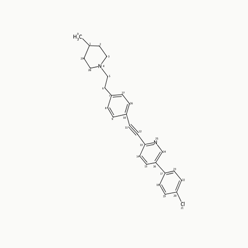 CC1CCN(CCc2ccc(C#Cc3ccc(-c4ccc(Cl)cc4)cn3)cc2)CC1